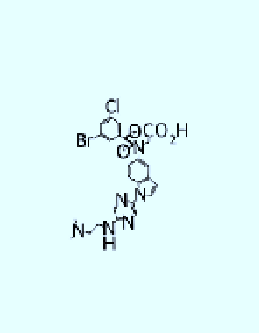 CN(C)CCNc1cnc(-n2ccc3cc(N(CC(=O)O)S(=O)(=O)c4cc(Cl)cc(Br)c4)ccc32)cn1